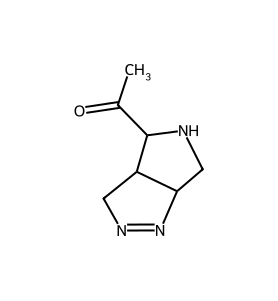 CC(=O)C1NCC2N=NCC21